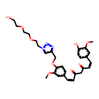 COc1cc(/C=C\C(=O)CC(=O)/C=C\c2ccc(OCc3cn(CCOCCOCCO)nn3)c(OC)c2)ccc1O